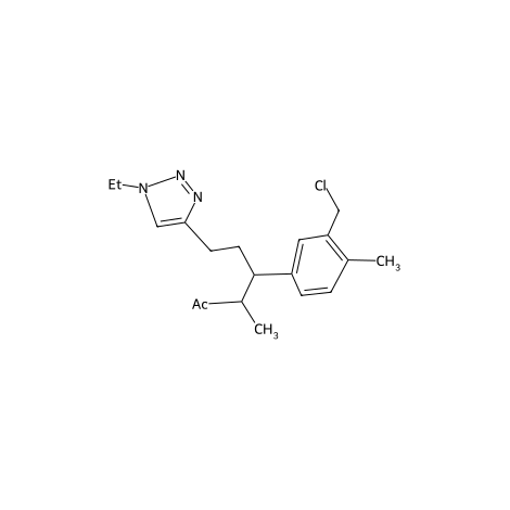 CCn1cc(CCC(c2ccc(C)c(CCl)c2)C(C)C(C)=O)nn1